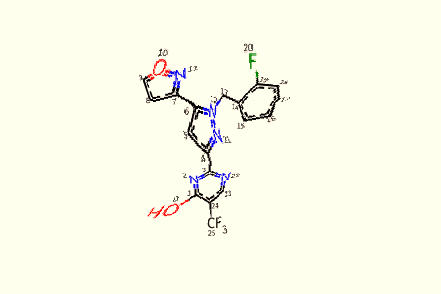 Oc1nc(-c2cc(-c3ccon3)n(Cc3ccccc3F)n2)ncc1C(F)(F)F